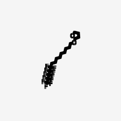 FC(F)(F)C(F)(F)C(F)(F)C(F)(F)C(F)(F)CCCCCCCCCOC1CCCO1